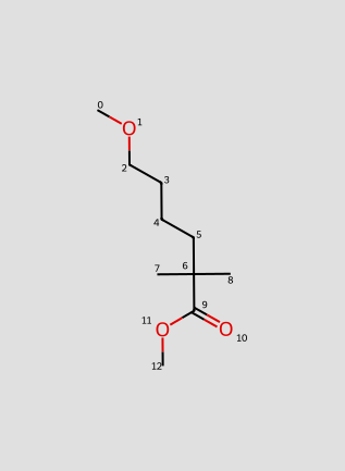 COCCCCC(C)(C)C(=O)OC